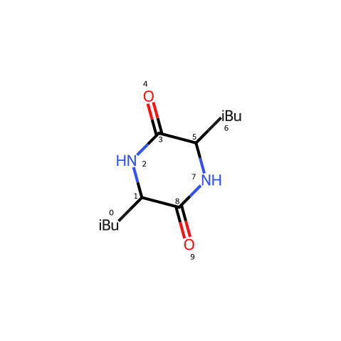 CCC(C)C1NC(=O)C(C(C)CC)NC1=O